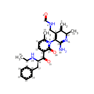 C=C1C(CNC=O)=C(n2c(C)ccc(C(=O)[C@@H](Cc3ccccc3)NCC)c2=O)C(N)=NC1C